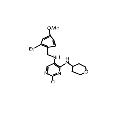 CCc1cc(OC)ccc1CNc1cnc(Cl)nc1NC1CCOCC1